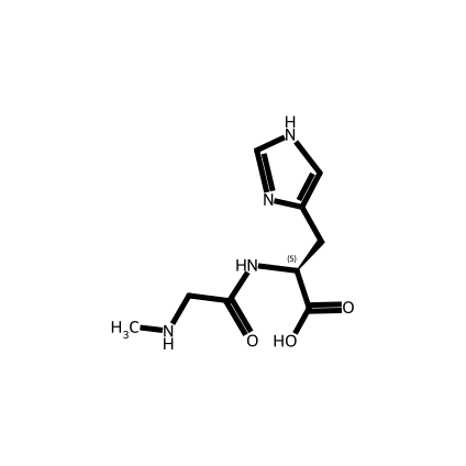 CNCC(=O)N[C@@H](Cc1c[nH]cn1)C(=O)O